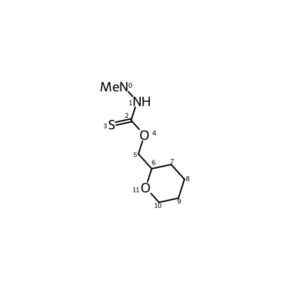 CNNC(=S)OCC1CCCCO1